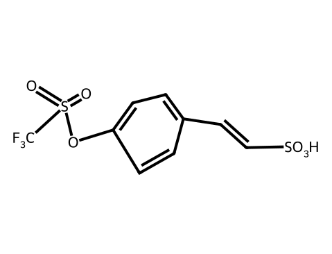 O=S(=O)(O)C=Cc1ccc(OS(=O)(=O)C(F)(F)F)cc1